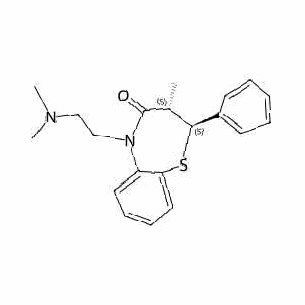 C[C@H]1C(=O)N(CCN(C)C)c2ccccc2S[C@@H]1c1ccccc1